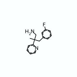 CC(CN)(Cc1cccc(F)c1)c1ccccn1